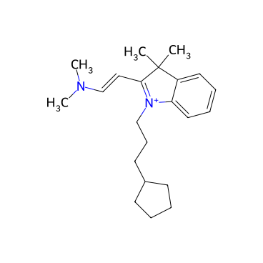 CN(C)/C=C/C1=[N+](CCCC2CCCC2)c2ccccc2C1(C)C